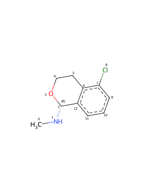 CN[C@@H]1OCCc2c(Cl)cccc21